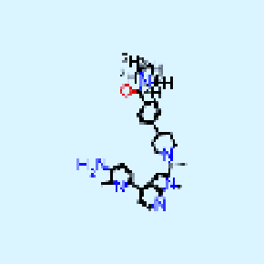 [2H]C([2H])([2H])N(C(=O)c1ccc(C2CCN([C@@H](C)c3cc4c(-c5ccc(N)c(C)n5)ccnc4n3C)CC2)cc1)C([2H])([2H])[2H]